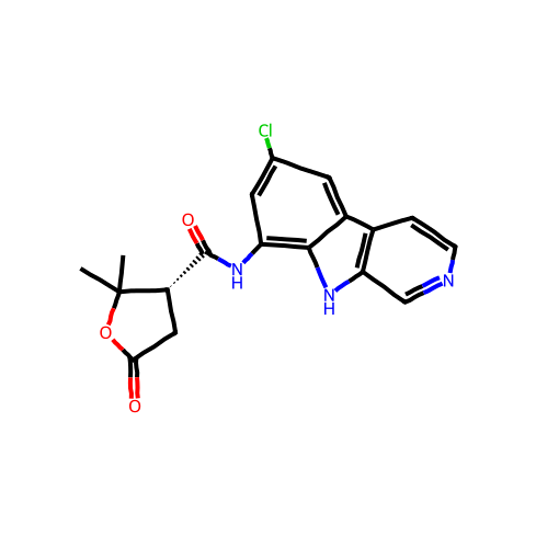 CC1(C)OC(=O)C[C@H]1C(=O)Nc1cc(Cl)cc2c1[nH]c1cnccc12